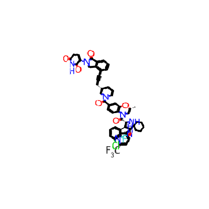 C[C@@H]1CN(C(=O)[C@@H]2NC3(CCCCC3)[C@@]3(CNc4cc(C(F)(F)F)ncc43)[C@H]2c2cccc(Cl)c2F)c2ccc(C(=O)N3CCC[C@@H](CC#Cc4cccc5c4CN([C@@H]4CCC(=O)NC4=O)C5=O)C3)cc2O1